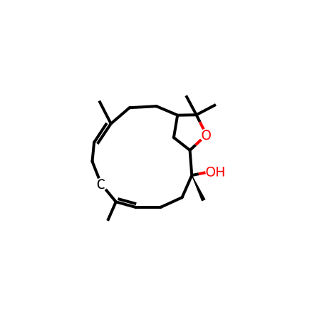 C/C1=C/CC[C@@](C)(O)C2CC(CC/C(C)=C\CC1)C(C)(C)O2